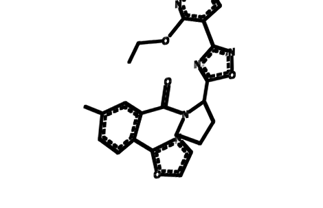 CCOc1ncccc1-c1noc(C2CCCN2C(=O)c2cc(C)ccc2-c2ncco2)n1